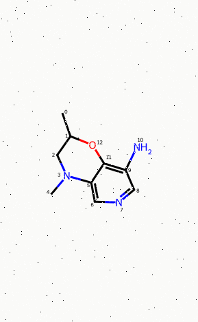 CC1CN(C)c2cncc(N)c2O1